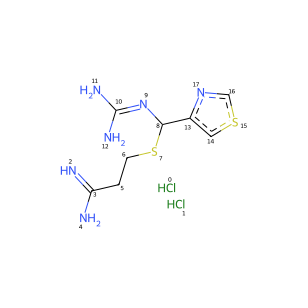 Cl.Cl.N=C(N)CCSC(N=C(N)N)c1cscn1